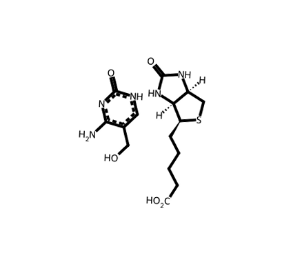 Nc1nc(=O)[nH]cc1CO.O=C(O)CCCC[C@@H]1SC[C@@H]2NC(=O)N[C@@H]21